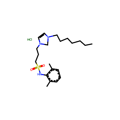 CCCCCCCN1C=CN(CCCS(=O)(=O)Nc2c(C)cccc2C)C1.Cl